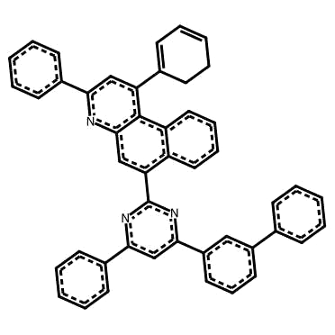 C1=CCCC(c2cc(-c3ccccc3)nc3cc(-c4nc(-c5ccccc5)cc(-c5cccc(-c6ccccc6)c5)n4)c4ccccc4c23)=C1